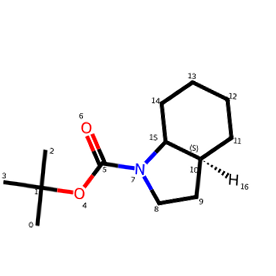 CC(C)(C)OC(=O)N1CC[C@@H]2CCCCC21